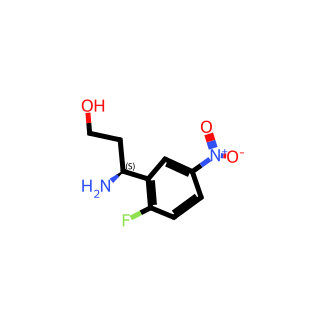 N[C@@H](CCO)c1cc([N+](=O)[O-])ccc1F